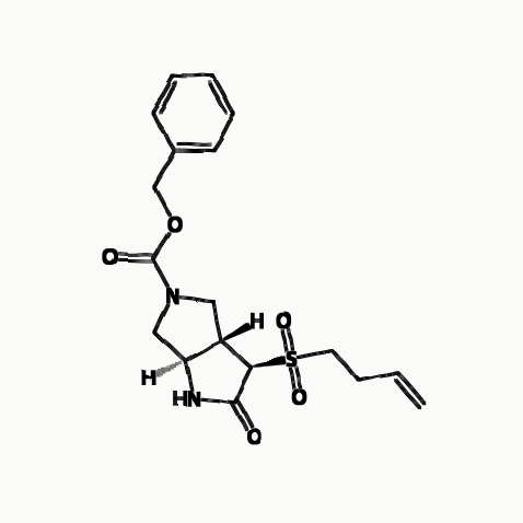 C=CCCS(=O)(=O)[C@H]1C(=O)N[C@H]2CN(C(=O)OCc3ccccc3)C[C@@H]21